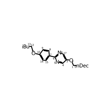 CCCCCCCCCCCOc1cnc(-c2ccc(OCC(C)CC)cc2)nc1